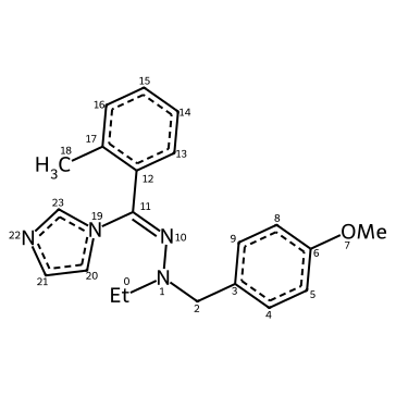 CCN(Cc1ccc(OC)cc1)/N=C(/c1ccccc1C)n1ccnc1